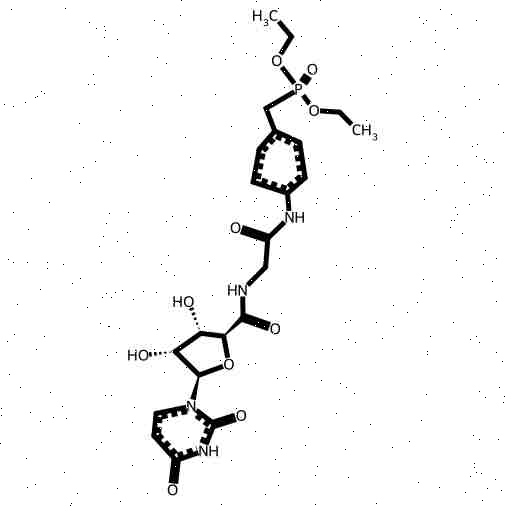 CCOP(=O)(Cc1ccc(NC(=O)CNC(=O)[C@H]2O[C@@H](n3ccc(=O)[nH]c3=O)[C@H](O)[C@@H]2O)cc1)OCC